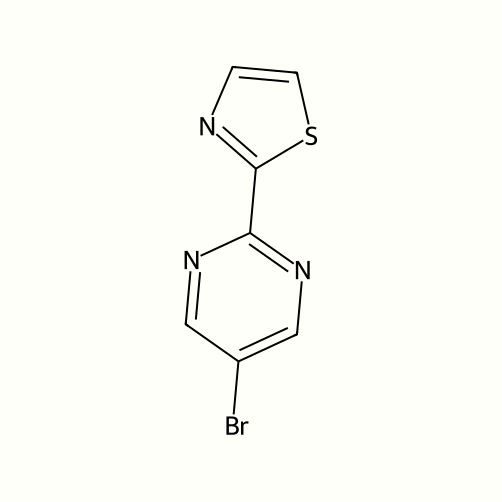 Brc1cnc(-c2nccs2)nc1